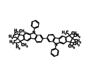 CC1(C)c2cc3c4ccc(-c5ccc6c7cc8c(cc7n(-c7ccccc7)c6c5)C(C)(C)C(C)(C)C8(C)C)cc4n(-c4ccccc4)c3cc2C(C)(C)C1(C)C